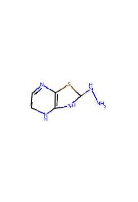 NNC1NC2=C(N=CCN2)S1